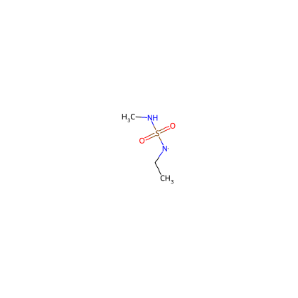 CC[N]S(=O)(=O)NC